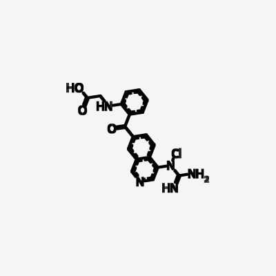 N=C(N)N(Cl)c1cncc2cc(C(=O)c3ccccc3NCC(=O)O)ccc12